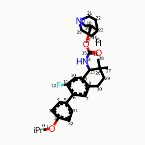 CC(C)Oc1ccc(-c2cc3c(cc2F)C(NC(=O)O[C@H]2CN4CCC2CC4)C(C)(C)CC3)cc1